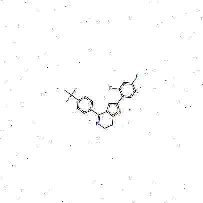 CC(C)(C)c1ccc(C2=NCCc3sc(-c4ccc(F)cc4F)cc32)cc1